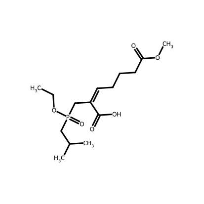 CCOP(=O)(CC(=CCCCC(=O)OC)C(=O)O)CC(C)C